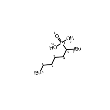 CCC(C)CCCCC(C(C)CC)P(=O)(O)O